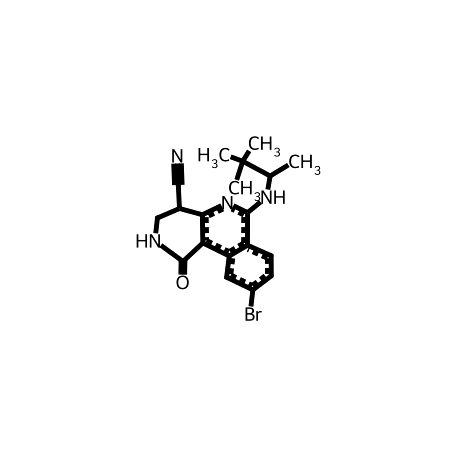 CC(Nc1nc2c(c3cc(Br)ccc13)C(=O)NCC2C#N)C(C)(C)C